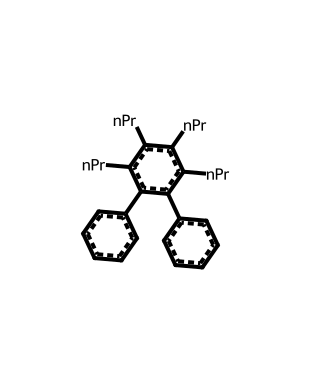 CCCc1c(CCC)c(CCC)c(-c2ccccc2)c(-c2ccccc2)c1CCC